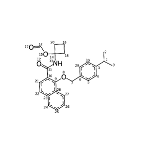 CC(C)c1ccc(COc2c(C(=O)NC3(OC=O)CCC3)ccc3ccccc23)cc1